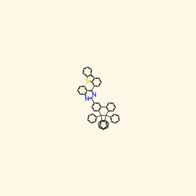 c1ccc(C2(c3ccccc3)c3ccccc3-c3cc(-c4nc(-c5cccc6c5sc5ccccc56)c5ccccc5n4)ccc3C2(c2ccccc2)c2ccccc2)cc1